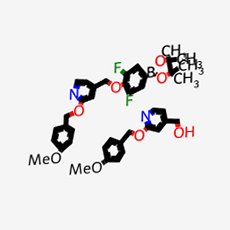 COc1ccc(COc2cc(CO)ccn2)cc1.COc1ccc(COc2cc(COc3c(F)cc(B4OC(C)(C)C(C)(C)O4)cc3F)ccn2)cc1